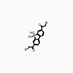 O=C(CBr)c1ccc2c(c1)S(O)(O)c1cc(C(=O)CBr)ccc1-2